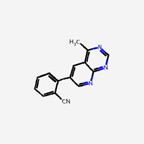 Cc1ncnc2ncc(-c3ccccc3C#N)cc12